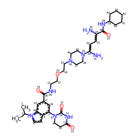 CC(C)n1ccc2c(N3CCC(=O)NC3=O)cc(C(=O)NCCOCCN3CCN(/C(N)=C/C=C(\N)C(=O)NC4CCCCC4)CC3)cc21